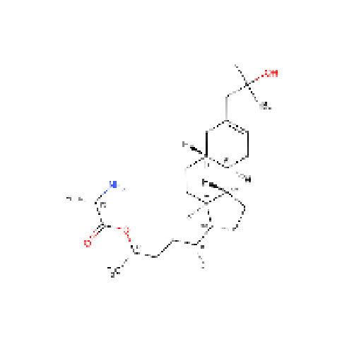 CCCCC(C)(O)CC1=CC[C@@H]2[C@H](CC[C@]3(C)[C@@H]([C@H](C)CC[C@@H](OC(=O)[C@@H](N)C(C)C)C(F)(F)F)CC[C@@H]23)C1